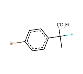 CCOC(=O)C(C)(F)c1ccc(Br)cc1